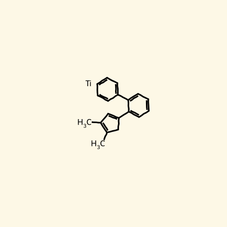 CC1=C(C)CC(c2ccccc2-c2ccccc2)=C1.[Ti]